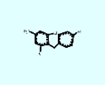 CC(=O)c1ccc(Cc2c(Cl)cc([N+](=O)[O-])cc2Cl)cc1